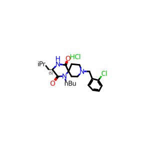 CCCCN1C(=O)[C@H](CC(C)C)NC(=O)C12CCN(Cc1ccccc1Cl)CC2.Cl